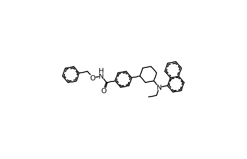 CCN(c1cccc2ccccc12)C1CCCC(c2ccc(C(=O)NOCc3ccccc3)cc2)C1